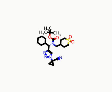 CC(C)(C)OC(=O)N(CC1CCS(=O)(=O)CC1)[C@H](c1cn(C2(C#N)CC2)nn1)C1CCCCC1